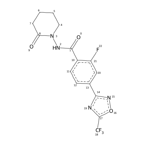 O=C(NN1CCCCC1=O)c1ccc(-c2noc(C(F)(F)F)n2)cc1F